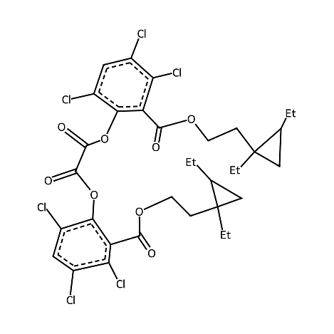 CCC1CC1(CC)CCOC(=O)c1c(Cl)c(Cl)cc(Cl)c1OC(=O)C(=O)Oc1c(Cl)cc(Cl)c(Cl)c1C(=O)OCCC1(CC)CC1CC